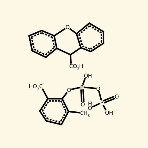 Cc1cccc(C(=O)O)c1OP(=O)(O)OP(=O)(O)O.O=C(O)C1c2ccccc2Oc2ccccc21